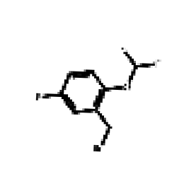 Fc1ccc(OC(F)F)c(CBr)c1